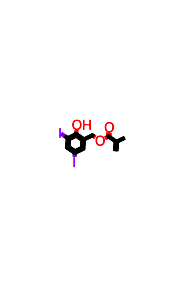 C=C(C)C(=O)OCc1cc(I)cc(I)c1O